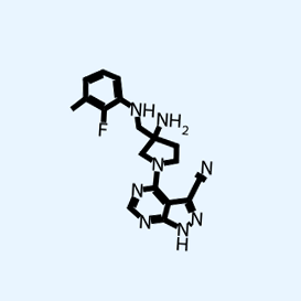 Cc1cccc(NCC2(N)CCN(c3ncnc4[nH]nc(C#N)c34)C2)c1F